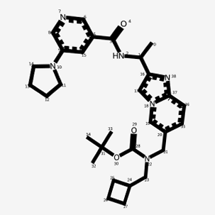 CC(NC(=O)c1cncc(N2CCCC2)c1)c1cn2cc(CN(CC3CCC3)C(=O)OC(C)(C)C)ccc2n1